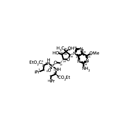 CCOC(=O)[C@@H](CC(C)C)NP(=O)(N[C@H](CC(C)C)C(=O)OCC)OC[C@H]1O[C@@H](n2cnc3c(OC)nc(N)nc32)C(C)(O)C1O